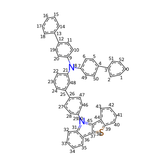 c1ccc(-c2ccc(N(c3ccc(-c4ccccc4)cc3)c3cccc(-c4ccc(-n5c6ccccc6c6sc7ccccc7c65)cc4)c3)cc2)cc1